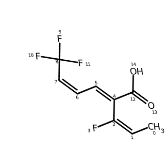 C\C=C(F)/C(=C\C=C/C(F)(F)F)C(=O)O